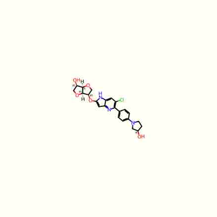 O[C@@H]1CCN(c2ccc(-c3nc4cc(O[C@@H]5CO[C@H]6[C@@H]5OC[C@H]6O)[nH]c4cc3Cl)cc2)C1